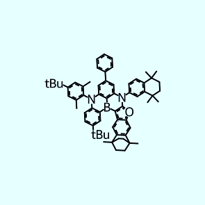 Cc1cc(C(C)(C)C)cc(C)c1N1c2ccc(C(C)(C)C)cc2B2c3c(cc(-c4ccccc4)cc31)N(c1ccc3c(c1)C(C)(C)CCC3(C)C)c1oc3cc4c(cc3c12)C1(C)CCC4(C)CC1